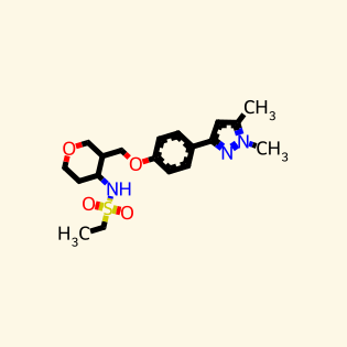 CCS(=O)(=O)NC1CCOCC1COc1ccc(-c2cc(C)n(C)n2)cc1